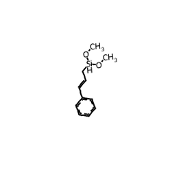 CO[SiH](CC=Cc1ccccc1)OC